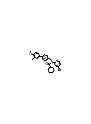 COc1ccc(C23CCC(CN(C(=O)C4CCCCC4)c4cc(Br)ccn4)(CC2)CC3)cc1C